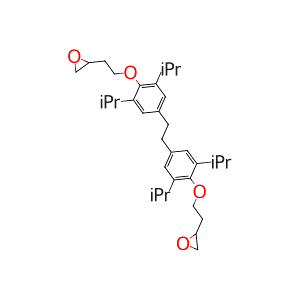 CC(C)c1cc(CCc2cc(C(C)C)c(OCCC3CO3)c(C(C)C)c2)cc(C(C)C)c1OCCC1CO1